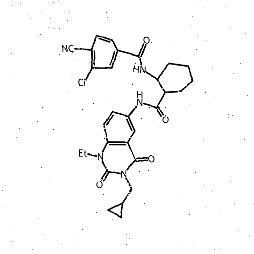 CCn1c(=O)n(CC2CC2)c(=O)c2cc(NC(=O)C3CCCCC3NC(=O)c3ccc(C#N)c(Cl)c3)ccc21